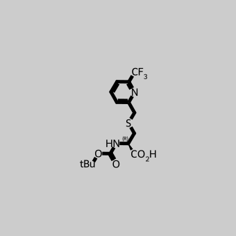 CC(C)(C)OC(=O)N[C@@H](CSCc1cccc(C(F)(F)F)n1)C(=O)O